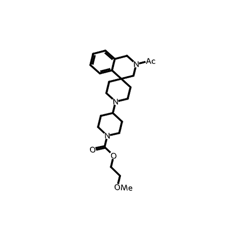 COCCOC(=O)N1CCC(N2CCC3(CC2)CN(C(C)=O)Cc2ccccc23)CC1